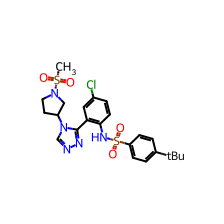 CC(C)(C)c1ccc(S(=O)(=O)Nc2ccc(Cl)cc2-c2nncn2C2CCN(S(C)(=O)=O)C2)cc1